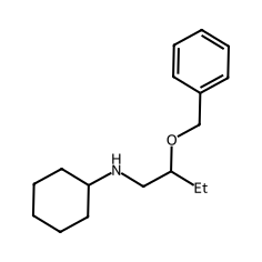 CCC(CNC1CCCCC1)OCc1ccccc1